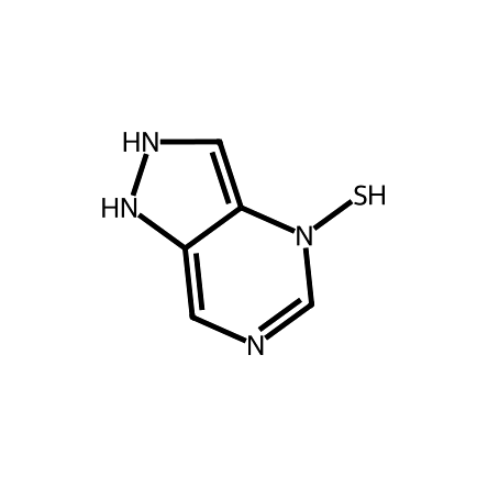 SN1C=NC=C2NNC=C21